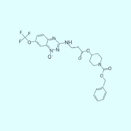 O=C(CCNc1nc2ccc(OC(F)(F)F)cc2[n+]([O-])n1)OC1CCN(C(=O)OCc2ccccc2)CC1